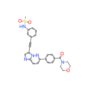 CS(=O)(=O)Nc1cccc(C#Cc2cnc3ccc(-c4ccc(C(=O)N5CCOCC5)cc4)nn23)c1